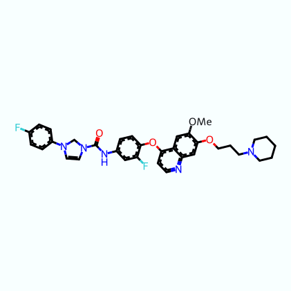 COc1cc2c(Oc3ccc(NC(=O)N4C=CN(c5ccc(F)cc5)C4)cc3F)ccnc2cc1OCCCN1CCCCC1